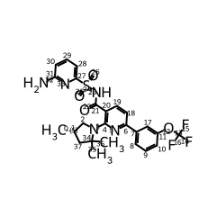 C[C@@H]1CN(c2nc(-c3cccc(OC(F)(F)F)c3)ccc2C(=O)NS(=O)(=O)c2cccc(N)n2)C(C)(C)C1